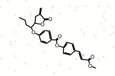 C=C1CC(C(CCC)Oc2ccc(C(=O)Oc3ccc(/C=C/C(=O)OC)cc3)cc2)OC1=O